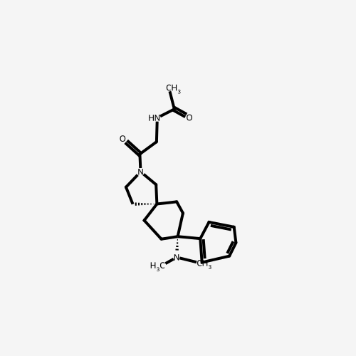 CC(=O)NCC(=O)N1CC[C@]2(CC[C@@](c3ccccc3)(N(C)C)CC2)C1